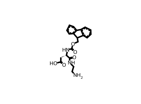 NCCNC(=O)[C@H](CC(=O)O)NC(=O)OCC1c2ccccc2-c2ccccc21